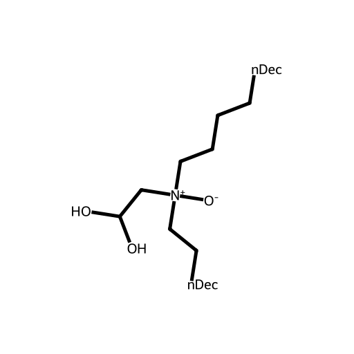 CCCCCCCCCCCCCC[N+]([O-])(CCCCCCCCCCCC)CC(O)O